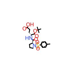 Cc1ccc(S(=O)(=O)N2CCC[C@H]2C(=O)N[C@H](CCC(=O)O)C(=O)OC(C)(C)C)cc1